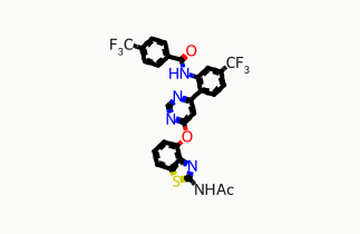 CC(=O)Nc1nc2c(Oc3cc(-c4ccc(C(F)(F)F)cc4NC(=O)c4ccc(C(F)(F)F)cc4)ncn3)cccc2s1